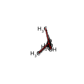 CCCCCCCCCCCCCCCCCC(=O)OCC(CNC(=O)C(N)CC(=O)CO)OC(=O)CCCCCCCCCCCCCCCCC